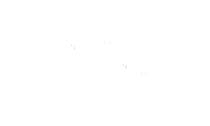 C/N=C(\C(Cl)=C/N(C)C(C)(C)C)C(C)(C)C